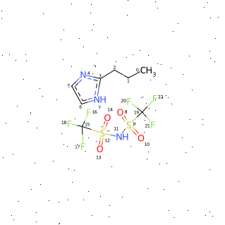 CCCc1ncc[nH]1.O=S(=O)(NS(=O)(=O)C(F)(F)F)C(F)(F)F